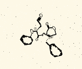 O=CC[C@H](Oc1ccccc1)C(=O)N1C(=O)OC[C@@H]1Cc1ccccc1